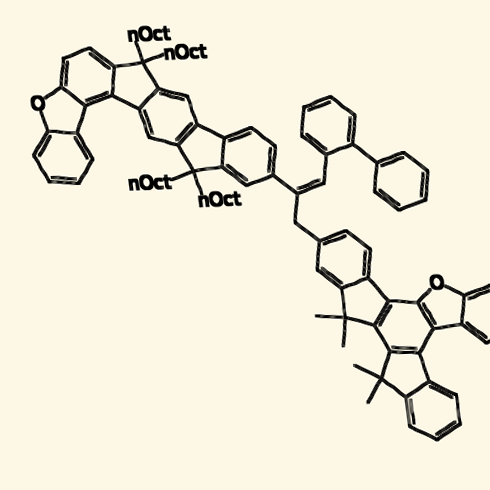 CCCCCCCCC1(CCCCCCCC)c2cc(/C(=C\c3ccccc3-c3ccccc3)Cc3ccc4c(c3)C(C)(C)c3c5c(c6c(oc7ccccc76)c3-4)-c3ccccc3C5(C)C)ccc2-c2cc3c(cc21)-c1c(ccc2oc4ccccc4c12)C3(CCCCCCCC)CCCCCCCC